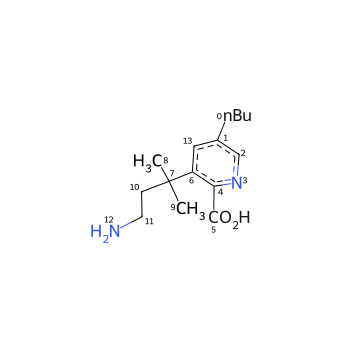 CCCCc1cnc(C(=O)O)c(C(C)(C)CCN)c1